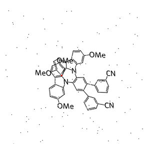 COc1ccc2c3ccc(OC)cc3n(-c3cc(-c4cccc(C#N)c4)c(-c4cccc(C#N)c4)cc3-n3c4cc(OC)ccc4c4ccc(OC)cc43)c2c1